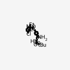 CCc1nc2ccc(Cl)cn2c1C(=O)NCc1ccc(N(N)CCNC(=O)OC(C)(C)C)cc1